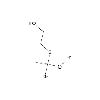 CCOC(C)(Br)OCCO